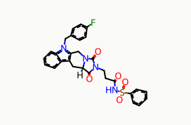 O=C(CCN1C(=O)[C@@H]2Cc3c(n(Cc4ccc(F)cc4)c4ccccc34)CN2C1=O)NS(=O)(=O)c1ccccc1